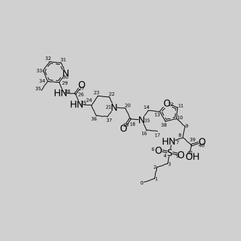 CCCCS(=O)(=O)NC(Cc1coc(CN(CC)C(=O)CN2CCC(NC(=O)Nc3ncccc3C)CC2)c1)C(=O)O